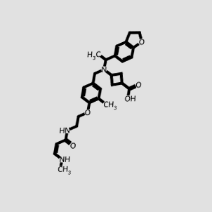 CN/C=C\C(=O)NCCOc1ccc(CN(C2CC(C(=O)O)C2)C(C)c2ccc3c(c2)CCO3)cc1C